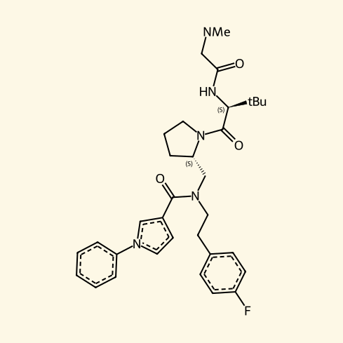 CNCC(=O)N[C@H](C(=O)N1CCC[C@H]1CN(CCc1ccc(F)cc1)C(=O)c1ccn(-c2ccccc2)c1)C(C)(C)C